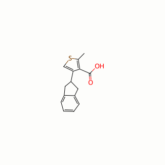 Cc1scc(C2Cc3ccccc3C2)c1C(=O)O